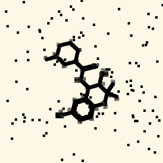 CN1CCCC(C(=O)NC2c3cc(C#N)ccc3OC(C)(C)C2O)C1